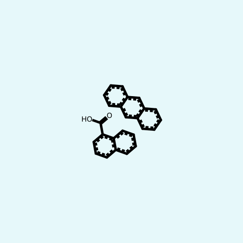 O=C(O)c1cccc2ccccc12.c1ccc2cc3ccccc3cc2c1